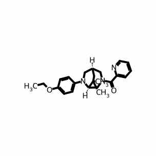 CCOc1ccc(N2C[C@H]3CN(C(=O)c4ccccn4)C[C@@H]2C(C)(C)C3)cc1